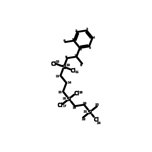 Cc1ccccc1C(C)C[Si](Cl)(Cl)CCC[Si](Cl)(Cl)CC[Si](C)(C)Cl